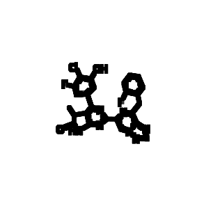 CC1C(=O)Nc2nc(-c3cn4ncnc4c(Cc4ccccc4F)n3)nc(-c3cc(O)c(Cl)c(F)c3)c21